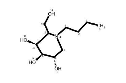 CCCCN1C[C@H](O)[C@@H](O)[C@@H](O)C1CO